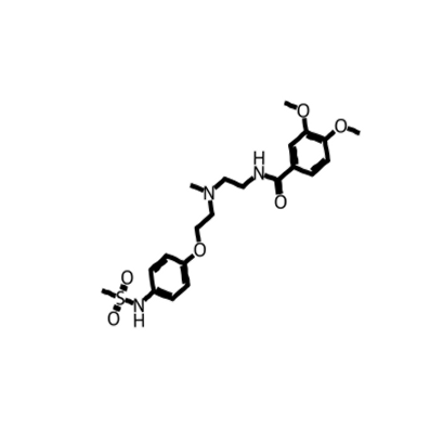 COc1ccc(C(=O)NCCN(C)CCOc2ccc(NS(C)(=O)=O)cc2)cc1OC